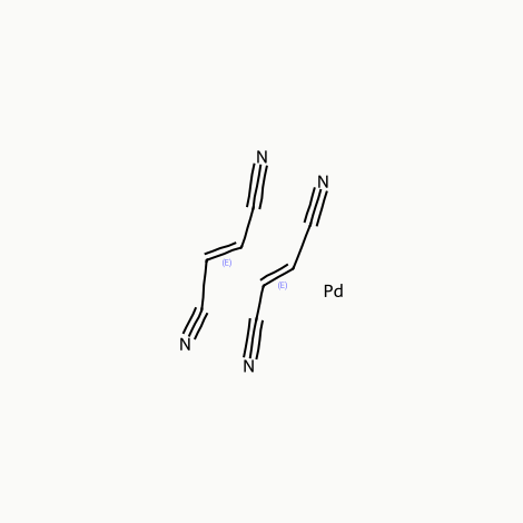 N#C/C=C/C#N.N#C/C=C/C#N.[Pd]